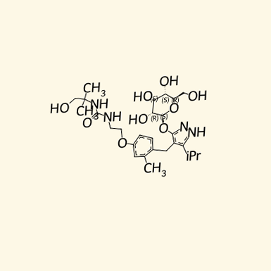 Cc1cc(OCCNC(=O)NC(C)(C)CO)ccc1Cc1c(O[C@@H]2O[C@H](CO)[C@@H](O)[C@H](O)[C@H]2O)n[nH]c1C(C)C